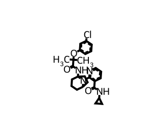 CC(C)(Oc1cccc(Cl)c1)C(=O)NC12CCCC(CC1)N2c1ncccc1C(=O)NC1CC1